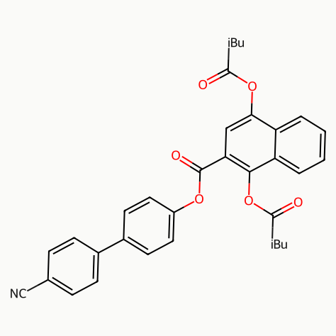 CCC(C)C(=O)Oc1cc(C(=O)Oc2ccc(-c3ccc(C#N)cc3)cc2)c(OC(=O)C(C)CC)c2ccccc12